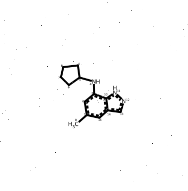 Cc1cc(NC2CCCC2)c2[nH]ncc2c1